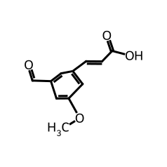 COc1cc(C=O)cc(/C=C/C(=O)O)c1